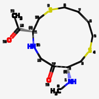 CN[C@H]1CSCCCCSC[C@@H](C(C)=O)NCC1=O